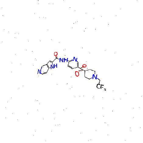 O=C(NCc1ccc(S(=O)(=O)C2CCN(CC(F)(F)F)CC2)cn1)c1cc2cnccc2[nH]1